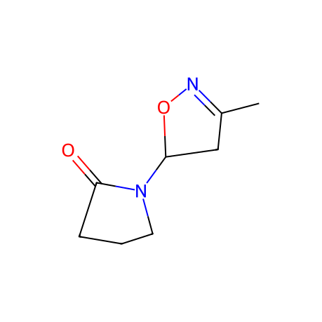 CC1=NOC(N2CCCC2=O)C1